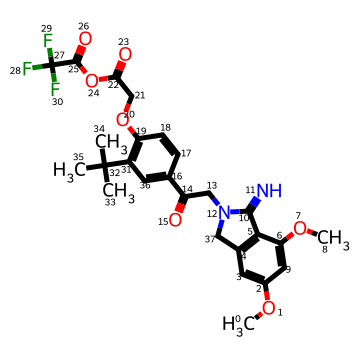 COc1cc2c(c(OC)c1)C(=N)N(CC(=O)c1ccc(OCC(=O)OC(=O)C(F)(F)F)c(C(C)(C)C)c1)C2